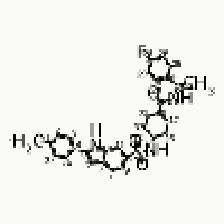 [CH2]c1ccc(-c2cc3ccc(S(=O)(=O)NC4CCC(C(=O)N[C@H](C)c5ccc(F)cc5)CC4)cc3[nH]2)cc1